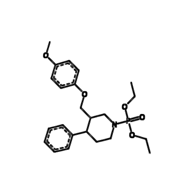 CCOP(=O)(OCC)N1CCC(c2ccccc2)C(COc2ccc(OC)cc2)C1